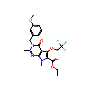 CCOC(=O)c1c(OCC(F)(F)F)c2c(=O)n(Cc3cccc(OC)c3)c(C)nc2n1C